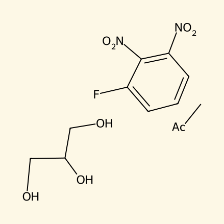 CC(C)=O.O=[N+]([O-])c1cccc(F)c1[N+](=O)[O-].OCC(O)CO